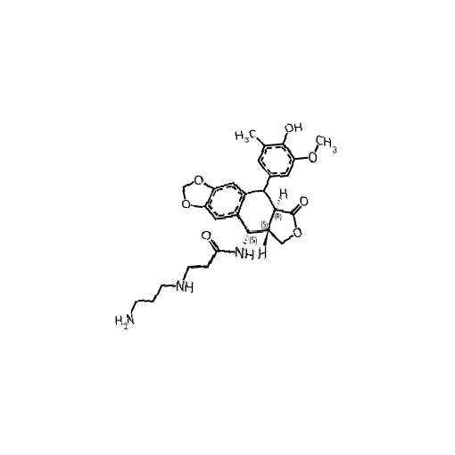 COc1cc(C2c3cc4c(cc3[C@@H](NC(=O)CCNCCCN)[C@H]3COC(=O)[C@H]23)OCO4)cc(C)c1O